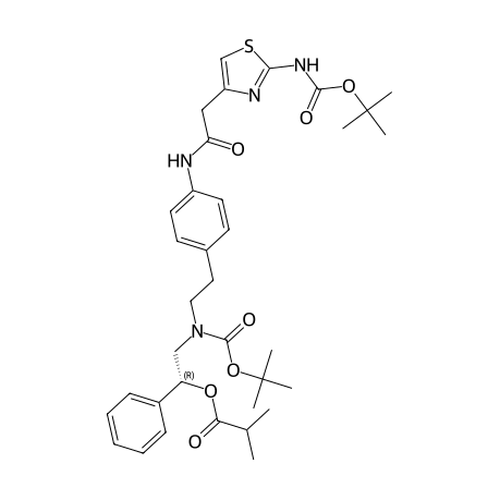 CC(C)C(=O)O[C@@H](CN(CCc1ccc(NC(=O)Cc2csc(NC(=O)OC(C)(C)C)n2)cc1)C(=O)OC(C)(C)C)c1ccccc1